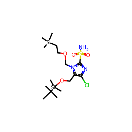 CC(C)(C)[Si](C)(C)OCc1c(Cl)nc(S(N)(=O)=O)n1COCC[Si](C)(C)C